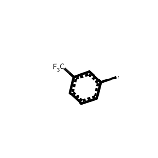 [CH]c1cccc(C(F)(F)F)c1